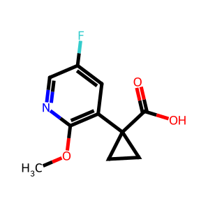 COc1ncc(F)cc1C1(C(=O)O)CC1